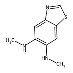 CNc1cc2ncsc2cc1NC